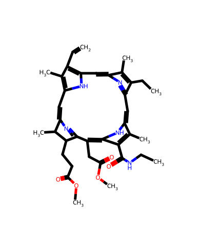 C=Cc1c(C)c2cc3nc(c(CC(=O)OC)c4[nH]c(cc5nc(cc1[nH]2)C(C)=C5CC)c(C)c4C(=O)NCC)C(CCC(=O)OC)C3C